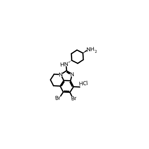 Cc1c(Br)c(Br)c2c3c1nc(N[C@H]1CC[C@H](N)CC1)n3CCC2.Cl